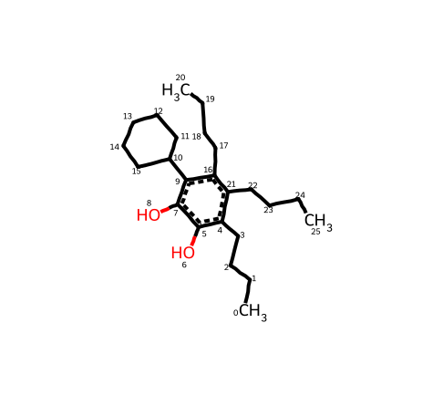 CCCCc1c(O)c(O)c(C2CCCCC2)c(CCCC)c1CCCC